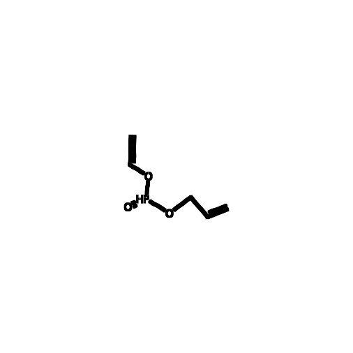 C=CCO[PH](=O)OC=C